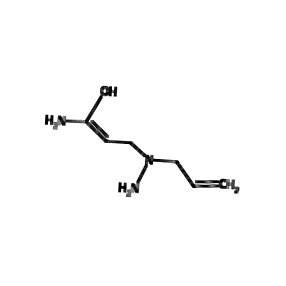 C=CCN(N)CC=C(N)O